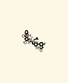 COc1cc(C(=O)N2CC3CCC2C3N)cc2nc(-c3cc4ccc(-c5ccc(F)c6c5NC(=O)C6)nc4n3CC3CC3)n(C)c12